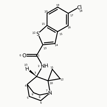 O=C(N[C@H]1C2CCN(CC2)C12CC2)c1cc2cc(Cl)ccc2s1